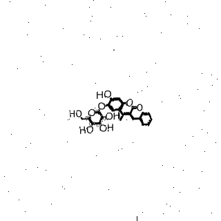 Cc1c(Cc2ccccc2)c(=O)oc2cc(O)c(O[C@@H]3O[C@H](CO)[C@@H](O)[C@H](O)[C@H]3O)cc12